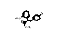 CCc1ccc(/C=C(/C(=O)OC)c2ccccc2C(=O)O)cc1